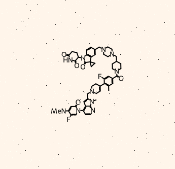 CNc1cc(=O)n(-c2ccnc3c2cc([C@H](C)N2CC=C(c4c(C)cc(C(=O)N5CCC(CN6CCN(Cc7ccc8c(c7)C7(CC7)C(=O)N8C7CCC(=O)NC7=O)CC6)CC5)cc4F)CC2)n3C)cc1F